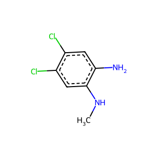 CNc1cc(Cl)c(Cl)cc1N